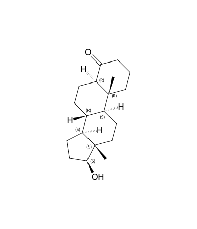 C[C@]12CCCC(=O)[C@@H]1CC[C@@H]1[C@@H]2CC[C@]2(C)[C@@H](O)CC[C@@H]12